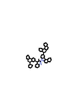 Cc1c(-n2c3ccc(C4Cc5ccc6ccccc6c5-c5ccccc54)cc3c3c4ccccc4ccc32)nc2ccccc2c1-c1ccc2c(c1)C(c1ccccc1)Cc1ccccc1-2